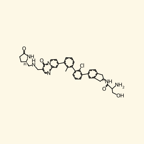 Cc1c(-c2ccn3c(=O)c(CNC[C@H]4CCC(=O)N4)cnc3c2)cccc1-c1cccc(-c2ccc3c(c2)C[C@H](NC(=O)C(N)CO)C3)c1Cl